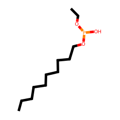 CCCCCCCCCCOP(O)OCC